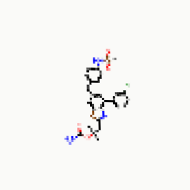 CC(C)(Cc1nc2c(-c3cccc(Cl)c3)cc(Cc3ccc(NS(C)(=O)=O)cc3)cc2s1)OC(N)=O